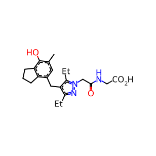 CCc1nn(CC(=O)NCC(=O)O)c(CC)c1Cc1cc(C)c(O)c2c1CCC2